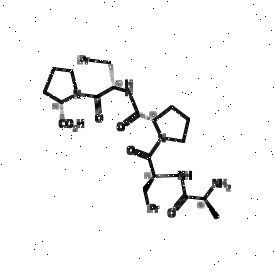 CC(C)C[C@H](NC(=O)[C@@H]1CCCN1C(=O)[C@H](CC(C)C)NC(=O)[C@H](C)N)C(=O)N1CCC[C@H]1C(=O)O